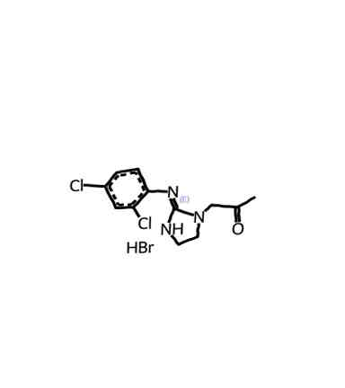 Br.CC(=O)CN1CCN/C1=N\c1ccc(Cl)cc1Cl